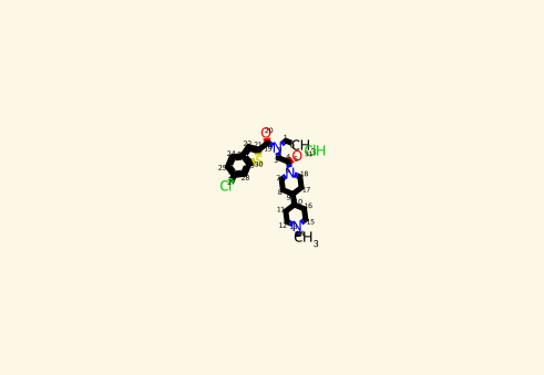 CCN(CC(=O)N1CCC(C2CCN(C)CC2)CC1)C(=O)c1cc2ccc(Cl)cc2s1.Cl